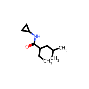 CCC(CC(C)C)C(=O)NC1CC1